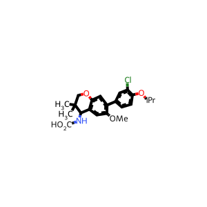 COc1cc2c(cc1-c1ccc(OC(C)C)c(Cl)c1)OCC(C)(C)C2NC(=O)O